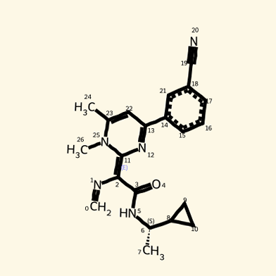 C=N/C(C(=O)N[C@@H](C)C1CC1)=C1/N=C(c2cccc(C#N)c2)C=C(C)N1C